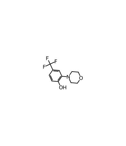 Oc1ccc(C(F)(F)F)cc1N1CCOCC1